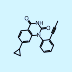 CC#Cc1ccccc1-n1c(=O)[nH]c(=O)c2ccc(C3CC3)cc21